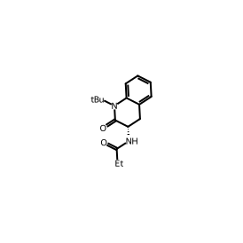 CCC(=O)N[C@H]1Cc2ccccc2N(C(C)(C)C)C1=O